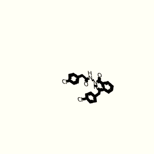 O=C(Cc1ccc(Cl)cc1)Nn1nc(Cc2ccc(Cl)cc2)c2ccccc2c1=O